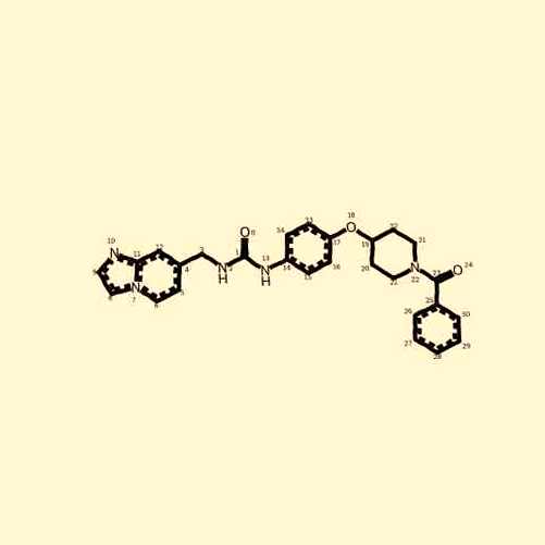 O=C(NCc1ccn2ccnc2c1)Nc1ccc(OC2CCN(C(=O)c3ccccc3)CC2)cc1